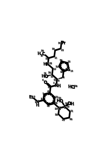 CCNc1cc(C(=O)N[C@@H](Cc2cccs2)[C@H](O)CNC(C)CCCC(C)C)cc(N2CCCCS2(O)O)c1.Cl